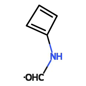 O=[C]NC1=CC=C1